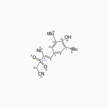 CC(C)(C)c1cc(/C=C(\C#N)S(=O)(=O)CC#N)cc(C(C)(C)C)c1O